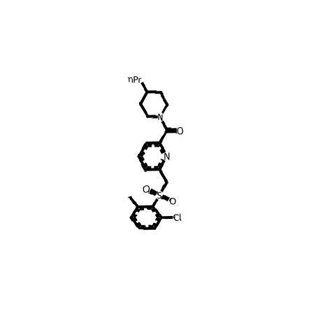 CCCC1CCN(C(=O)c2cccc(CS(=O)(=O)c3c(C)cccc3Cl)n2)CC1